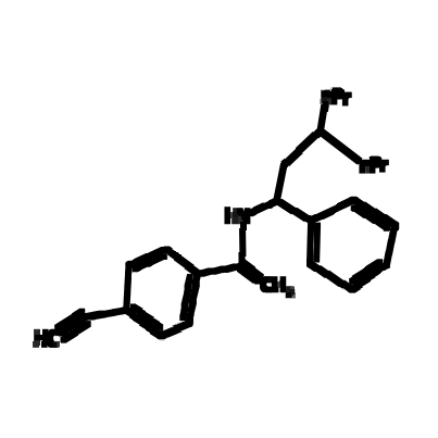 C#Cc1ccc(C(=C)NC(CC(CCC)CCC)c2ccccc2)cc1